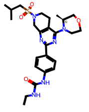 CCNC(=O)Nc1ccc(-c2nc3c(c(N4CCOC[C@@H]4C)n2)CCN(S(=O)(=O)CC(C)C)C3)cc1